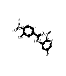 COc1ncc(F)cc1NC(=O)c1ccc([N+](=O)[O-])c(Cl)c1